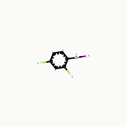 Fc1cc[c]([Zn][I])c(F)c1